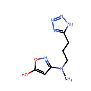 CN(CCCc1nnn[nH]1)c1cc(O)on1